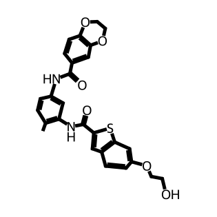 Cc1ccc(NC(=O)c2ccc3c(c2)OCCO3)cc1NC(=O)c1cc2ccc(OCCO)cc2s1